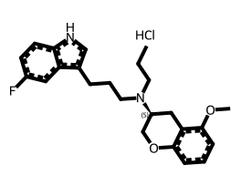 CCCN(CCCc1c[nH]c2ccc(F)cc12)[C@@H]1COc2cccc(OC)c2C1.Cl